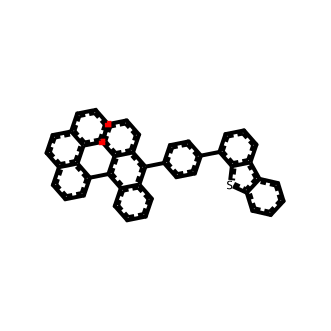 c1ccc2c(c1)ccc1cccc(-c3c4ccccc4c(-c4ccc(-c5cccc6c5sc5ccccc56)cc4)c4ccccc34)c12